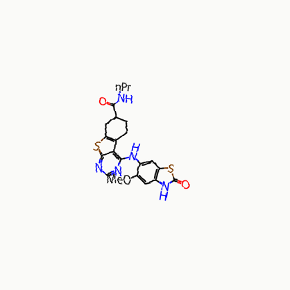 CCCNC(=O)C1CCc2c(sc3ncnc(Nc4cc5sc(=O)[nH]c5cc4OC)c23)C1